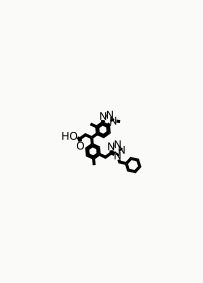 Cc1ccc(C(CC(=O)O)c2ccc3c(nnn3C)c2C)cc1Cc1nnnn1CC1CCCCC1